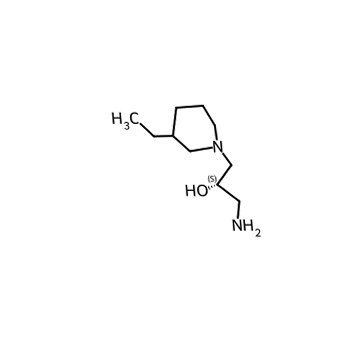 CCC1CCCN(C[C@@H](O)CN)C1